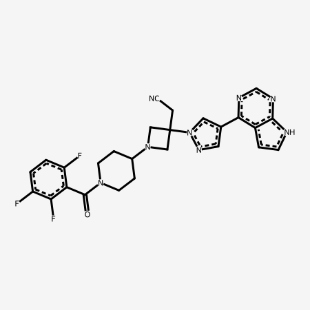 N#CCC1(n2cc(-c3ncnc4[nH]ccc34)cn2)CN(C2CCN(C(=O)c3c(F)ccc(F)c3F)CC2)C1